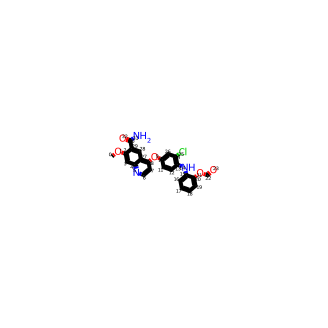 COc1cc2nccc(Oc3ccc(Nc4ccccc4OC=O)c(Cl)c3)c2cc1C(N)=O